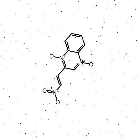 O=[N+]([O-])/C=C/c1c[n+]([O-])c2ccccc2[n+]1[O-]